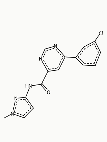 Cn1ccc(NC(=O)c2cc(-c3cccc(Cl)c3)ncn2)n1